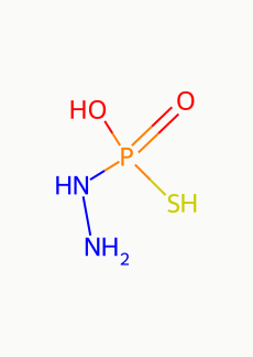 NNP(=O)(O)S